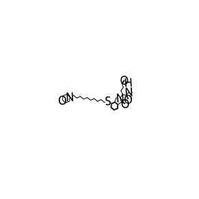 CNC(=O)C(CCC=O)N1Cc2c(SCCCCCCCCCCN3CCOCC3)cccc2C1=O